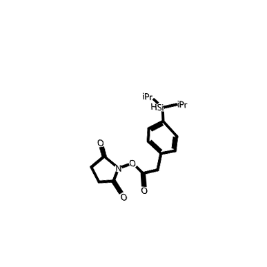 CC(C)[SiH](c1ccc(CC(=O)ON2C(=O)CCC2=O)cc1)C(C)C